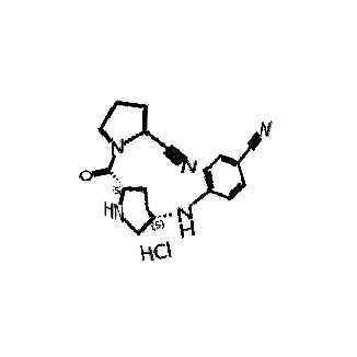 Cl.N#Cc1ccc(N[C@@H]2CN[C@H](C(=O)N3CCCC3C#N)C2)cc1